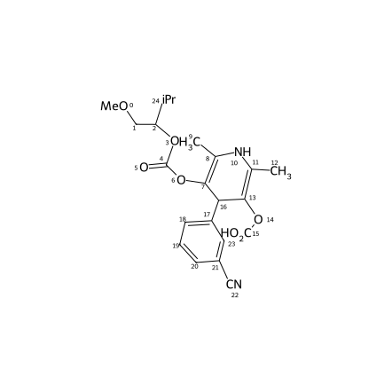 COCC(OC(=O)OC1=C(C)NC(C)=C(OC(=O)O)C1c1cccc(C#N)c1)C(C)C